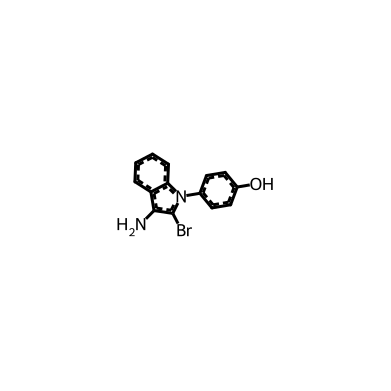 Nc1c(Br)n(-c2ccc(O)cc2)c2ccccc12